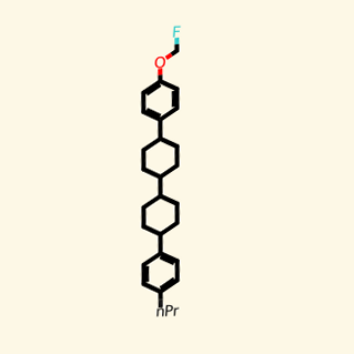 CCCc1ccc(C2CCC(C3CCC(c4ccc(OCF)cc4)CC3)CC2)cc1